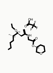 C=C(C[C@H](OCC)[C@@H](C)CCCC)NCC(=O)O[C@@H]1CCCOC1.O=C(O)C(F)(F)F